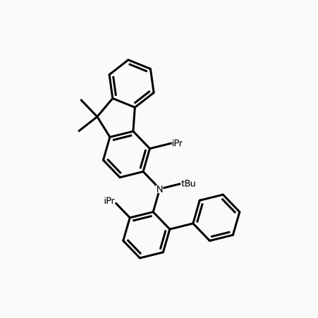 CC(C)c1cccc(-c2ccccc2)c1N(c1ccc2c(c1C(C)C)-c1ccccc1C2(C)C)C(C)(C)C